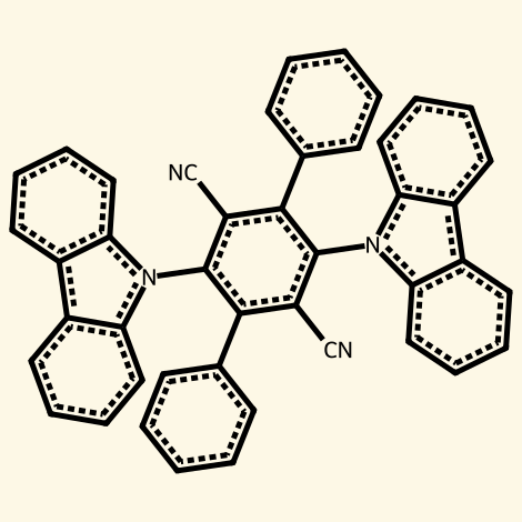 N#Cc1c(-c2ccccc2)c(-n2c3ccccc3c3ccccc32)c(C#N)c(-c2ccccc2)c1-n1c2ccccc2c2ccccc21